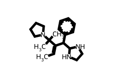 C/C=C(/C(c1ccccc1)C1NCCN1)C(C)(C)N1CCCC1